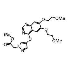 COCCOc1cc2ncnc(Oc3cnn(CC(=O)OC(C)(C)C)c3)c2cc1OCCOC